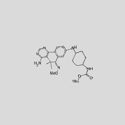 CON=C1c2cc(NC3CCC(NC(=O)OC(C)(C)C)CC3)ccc2-c2ncnc(N)c2C1(C)C